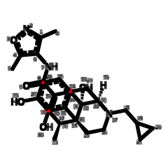 Cc1noc(C)c1NC(=O)C1=C[C@H](C)[C@]23CCN(CC4CC4)[C@H](Cc4ccc(O)c(O)c42)[C@]3(O)C1